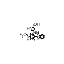 Cc1nc(NCC(F)(F)F)nc(N[C@H]2CN[C@@H](CO)C2)c1-c1nc2ccccc2s1